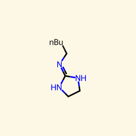 CCCCCN=C1NCCN1